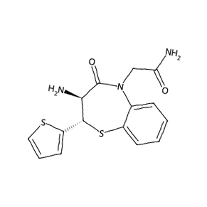 NC(=O)CN1C(=O)[C@H](N)[C@@H](c2cccs2)Sc2ccccc21